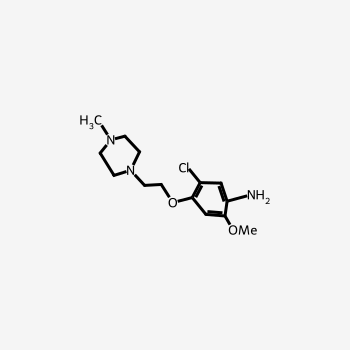 COc1cc(OCCN2CCN(C)CC2)c(Cl)cc1N